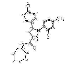 Nc1ccc(N2N=C(C(=O)NN3CCCCCC3)CC2c2ccc(Cl)cc2)c(Cl)c1